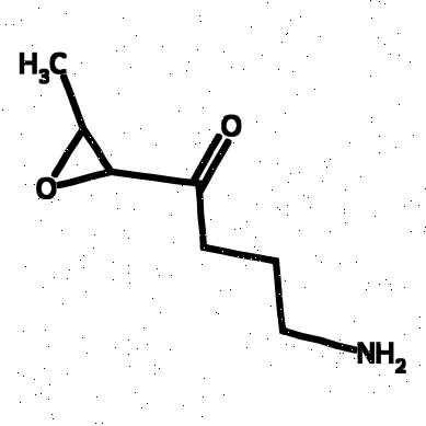 CC1OC1C(=O)CCCN